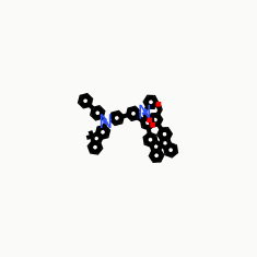 C=Cc1cccc(-c2ccc3c(c2)C2(c4ccccc4-3)c3ccccc3-c3ccc(-c4ccc5c(c4)c4cc(-c6ccc(N(c7ccc(-c8ccccc8)cc7)c7ccc8c(c7)C(C)(C)c7ccccc7-8)cc6)ccc4n5-c4ccccc4)cc32)c1